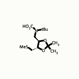 CSC[C@H]1OC(C)(C)O[C@@H]1CN(C(=O)O)C(C)(C)C